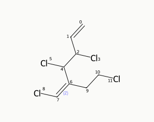 C=CC(Cl)C(Cl)/C(=C\Cl)CCCl